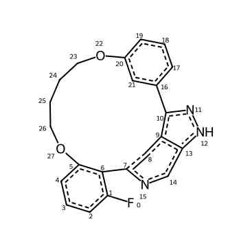 Fc1cccc2c1-c1cc3c(n[nH]c3cn1)-c1cccc(c1)OCCCCO2